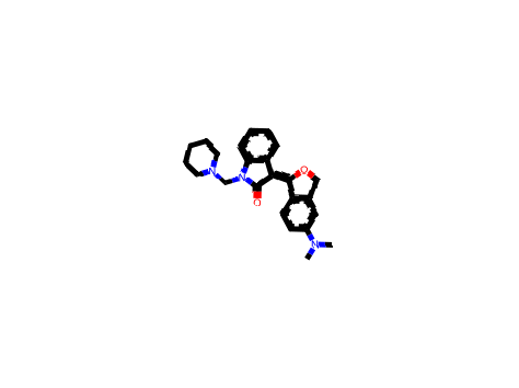 CN(C)c1ccc2c(c1)COC2=C1C(=O)N(CN2CCCCC2)c2ccccc21